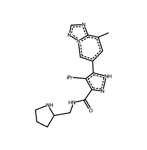 Cc1cc(-c2[nH]nc(C(=O)NCC3CCCN3)c2C(C)C)cn2ncnc12